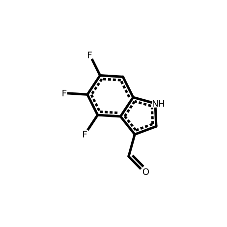 O=Cc1c[nH]c2cc(F)c(F)c(F)c12